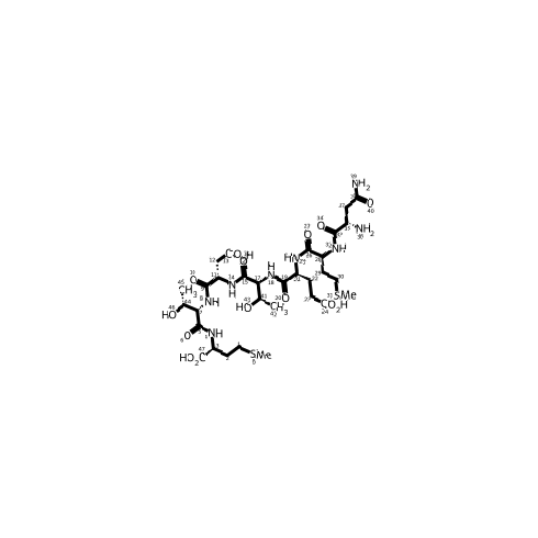 CSCC[C@H](NC(=O)[C@@H](NC(=O)[C@H](CC(=O)O)NC(=O)[C@@H](NC(=O)[C@H](CCC(=O)O)NC(=O)[C@H](CCSC)NC(=O)[C@@H](N)CC(N)=O)[C@@H](C)O)[C@@H](C)O)C(=O)O